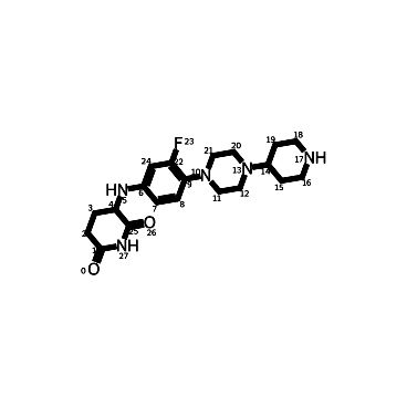 O=C1CCC(Nc2ccc(N3CCN(C4CCNCC4)CC3)c(F)c2)C(=O)N1